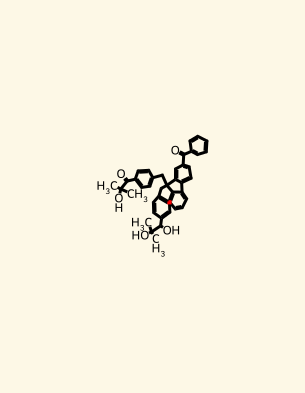 CC(C)(O)C(=O)c1ccc(CC2(Cc3ccc(C(O)C(C)(C)O)cc3)c3ccccc3-c3ccc(C(=O)c4ccccc4)cc32)cc1